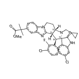 COC(=O)C(C)(C)c1ccc2c(c1)nc1n2CC[C@H]2[C@@H]1[C@H](c1cccc(Cl)c1F)[C@]1(C(=O)Nc3cc(Cl)ccc31)N2CC1CC1